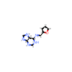 C(=Nc1[nH]cnc2ncnc1-2)c1ccco1